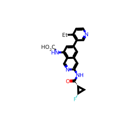 CCc1ccncc1-c1cc(NC(=O)O)c2cnc(NC(=O)[C@@H]3C[C@@H]3F)cc2c1